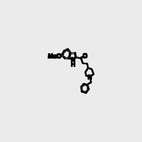 COc1ccc2cc(C(=O)CCC3CCN(Cc4ccccc4)CC3)[nH]c2c1